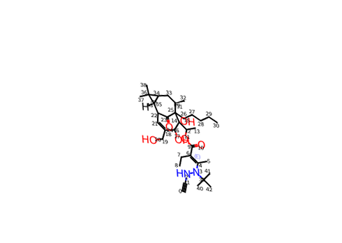 C#CNN(/C(C)=C(\CC)C(=O)OC(C)C1(O)C(O)C(CO)=CC2C(=O)C1(CCCCC)[C@H](C)CC1[C@H]2C1(C)C)C(C)(C)C